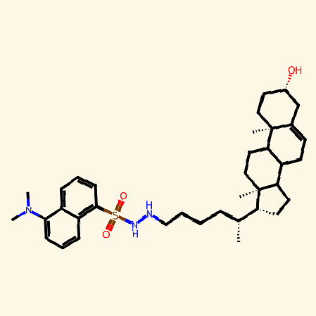 C[C@H](CCCCNNS(=O)(=O)c1cccc2c(N(C)C)cccc12)[C@H]1CCC2C3CC=C4C[C@@H](O)CC[C@]4(C)C3CC[C@@]21C